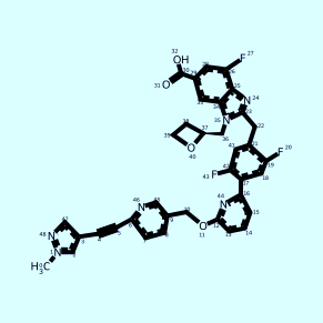 Cn1cc(C#Cc2ccc(COc3cccc(-c4cc(F)c(Cc5nc6c(F)cc(C(=O)O)cc6n5C[C@@H]5CCO5)cc4F)n3)cn2)cn1